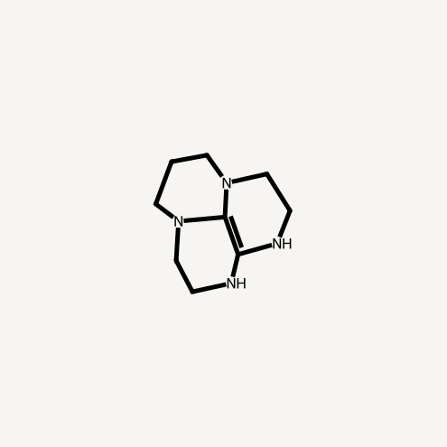 C1CN2CCNC3=C2N(C1)CCN3